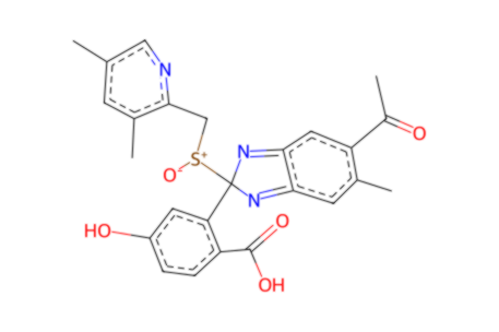 CC(=O)c1cc2c(cc1C)=NC(c1cc(O)ccc1C(=O)O)([S+]([O-])Cc1ncc(C)cc1C)N=2